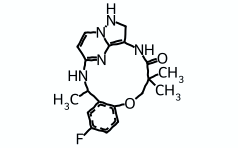 CC1NC2=NC3=C(CNN3C=C2)NC(=O)C(C)(C)COc2ccc(F)cc21